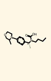 CCCCN(C(=O)O)[C@H](C)c1ccc(N2CCOCC2C)cc1